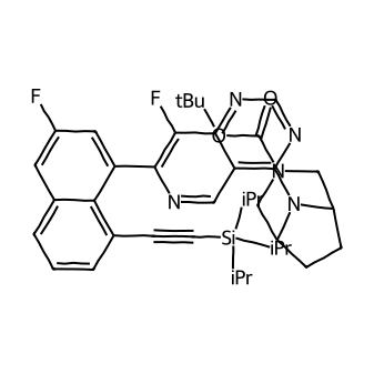 CC(C)[Si](C#Cc1cccc2cc(F)cc(-c3ncc4c(N5C6CCC5CN(C(=O)OC(C)(C)C)C6)ncnc4c3F)c12)(C(C)C)C(C)C